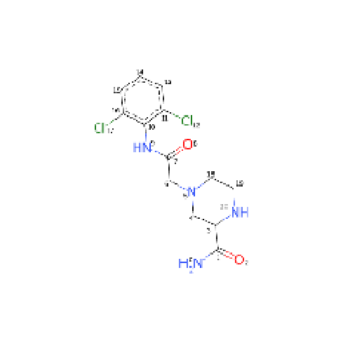 NC(=O)C1CN(CC(=O)Nc2c(Cl)cccc2Cl)CCN1